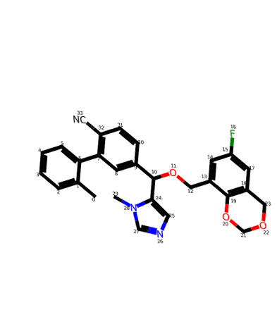 Cc1ccccc1-c1cc(C(OCc2cc(F)cc3c2OCOC3)c2cncn2C)ccc1C#N